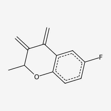 C=C1C(=C)C(C)Oc2ccc(F)cc21